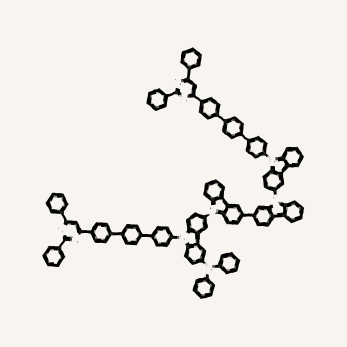 c1ccc(-c2cc(-c3ccc(-c4ccc(-c5ccc(-n6c7ccccc7c7cc(-n8c9ccccc9c9ccc(-c%10ccc%11c(c%10)c%10ccccc%10n%11-c%10ccc%11c(c%10)c%10cc(N(c%12ccccc%12)c%12ccccc%12)ccc%10n%11-c%10ccc(-c%11ccc(-c%12ccc(-c%13cc(-c%14ccccc%14)nc(-c%14ccccc%14)n%13)cc%12)cc%11)cc%10)cc98)ccc76)cc5)cc4)cc3)nc(-c3ccccc3)n2)cc1